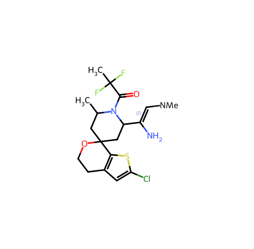 CN/C=C(\N)C1CC2(CC(C)N1C(=O)C(C)(F)F)OCCc1cc(Cl)sc12